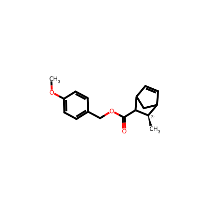 COc1ccc(COC(=O)C2C3C=CC(C3)[C@H]2C)cc1